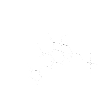 CO[C@@]1(NC(=O)CSC(F)(F)F)C(=O)N2C(C(=O)O)=C(CSc3nnnn3C)CS[C@@H]21